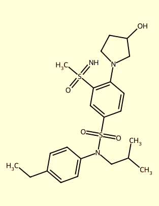 CCc1ccc(N(CC(C)C)S(=O)(=O)c2ccc(N3CCC(O)C3)c(S(C)(=N)=O)c2)cc1